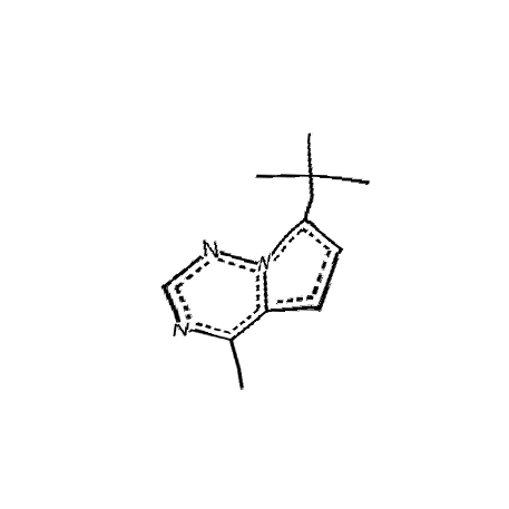 Cc1ncnn2c(C(C)(C)C)ccc12